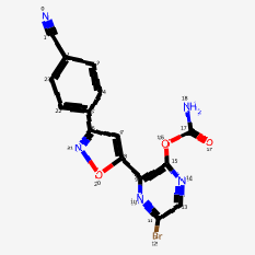 N#Cc1ccc(-c2cc(-c3nc(Br)cnc3OC(N)=O)on2)cc1